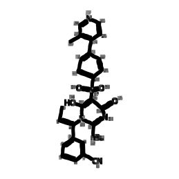 C/C=C(/c1cccc(C#N)c1)n1c(CCCC)nc(=O)c(S(=O)(=O)c2ccc(-c3ccncc3C)cc2)c1O